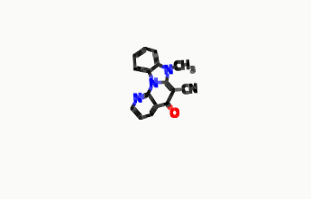 Cn1c2ccccc2n2c3ncccc3c(=O)c(C#N)c12